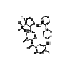 Cc1cc(C)c(C(=O)N2CCN(c3cccc(F)c3S(C)(=N)=O)C[C@@H]2C)cc1NC1CCN(c2ccccc2C#N)CC1